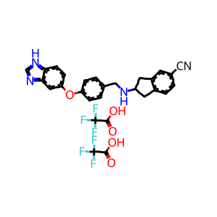 N#Cc1ccc2c(c1)CC(NCc1ccc(Oc3ccc4[nH]cnc4c3)cc1)C2.O=C(O)C(F)(F)F.O=C(O)C(F)(F)F